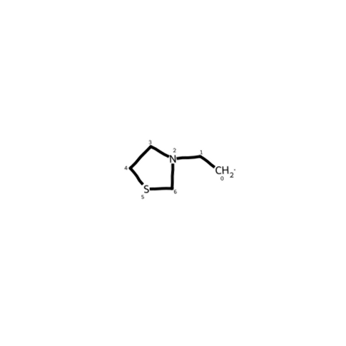 [CH2]CN1CCSC1